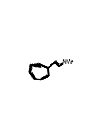 CN/C=C/C1C=CC=CC=C1